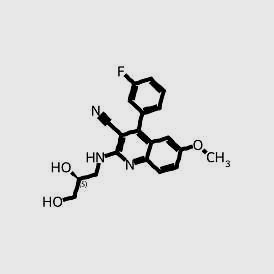 COc1ccc2nc(NC[C@H](O)CO)c(C#N)c(-c3cccc(F)c3)c2c1